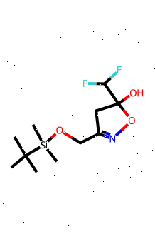 CC(C)(C)[Si](C)(C)OCC1=NOC(O)(C(F)F)C1